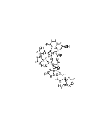 C#Cc1c(F)ccc2cc(O)cc(-c3ncc4c(N(C)C[C@@H]5CCCN5C(=O)C=C)nc(OC[C@]5(C)C[C@@H](F)CN5C5CCC(N6CCOC[C@@H]6C)CC5)nc4c3F)c12